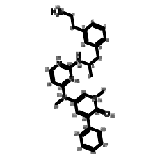 CC(Cc1cccc(CCN)c1)Nc1nccc(N(C)c2cc(-c3ccccc3)c(=O)n(C)c2)n1